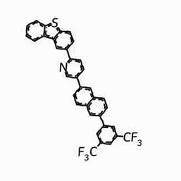 FC(F)(F)c1cc(-c2ccc3cc(-c4ccc(-c5ccc6sc7ccccc7c6c5)nc4)ccc3c2)cc(C(F)(F)F)c1